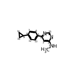 CNc1cc(-c2ccc(C3CC3)cc2)ncn1